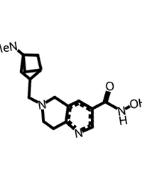 CNC12CC(CN3CCc4ncc(C(=O)NO)cc4C3)C(C1)C2